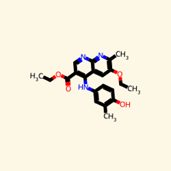 CCOC(=O)c1cnc2nc(C)c(OCC)cc2c1Nc1ccc(O)c(C)c1